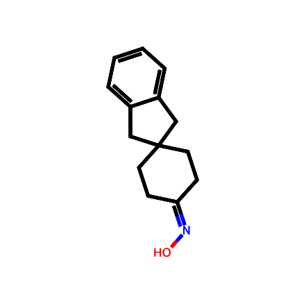 ON=C1CCC2(CC1)Cc1ccccc1C2